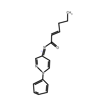 CCCC=CC(=O)/N=c1\ccn(-c2ccccc2)nc1